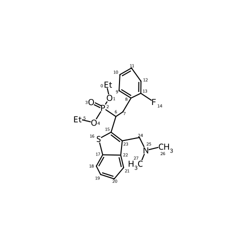 CCOP(=O)(OCC)C(Cc1ccccc1F)c1sc2ccccc2c1CN(C)C